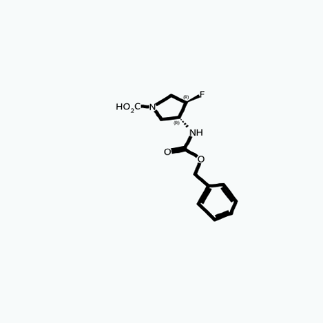 O=C(N[C@@H]1CN(C(=O)O)C[C@H]1F)OCc1ccccc1